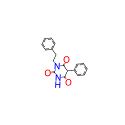 O=C1NC(=O)N(CCc2ccccc2)C(=O)C1c1ccccc1